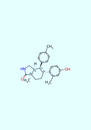 Cc1ccc([C@H]2[C@H](c3ccc(O)cc3C)CC[C@@]3(C)C(=O)NC[C@@H]23)cc1